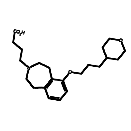 O=C(O)CCCN1CCc2cccc(OCCCC3CCOCC3)c2CC1